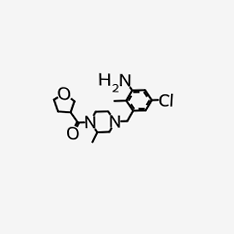 Cc1c(N)cc(Cl)cc1CN1CCN(C(=O)C2CCOC2)C(C)C1